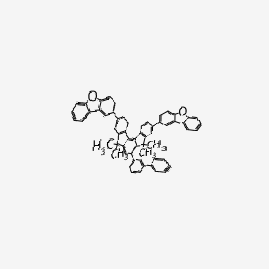 CC1(C)C2=C(CCC(c3ccc4oc5ccccc5c4c3)=C2)c2c1cc(-c1cccc(-c3ccccc3)c1)c1c2-c2ccc(-c3ccc4oc5ccccc5c4c3)cc2C1(C)C